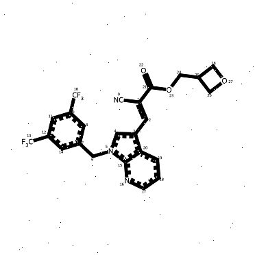 N#C/C(=C\c1cn(Cc2cc(C(F)(F)F)cc(C(F)(F)F)c2)c2ncccc12)C(=O)OCC1COC1